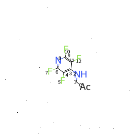 CC(=O)CNc1c(F)c(F)nc(F)c1F